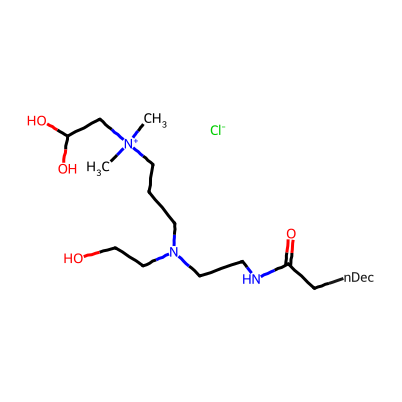 CCCCCCCCCCCC(=O)NCCN(CCO)CCC[N+](C)(C)CC(O)O.[Cl-]